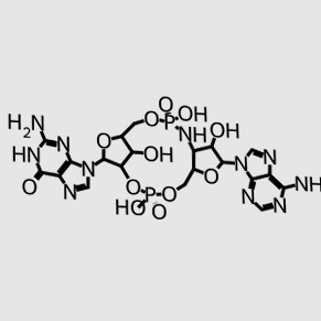 Nc1nc2c(ncn2C2OC3COP(=O)(O)NC4C(COP(=O)(O)OC2C3O)OC(n2cnc3c(N)ncnc32)C4O)c(=O)[nH]1